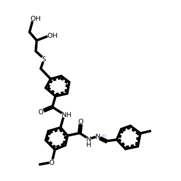 COc1ccc(NC(=O)c2cccc(CSCC(O)CO)c2)c(C(=O)N/N=C/c2ccc(C)cc2)c1